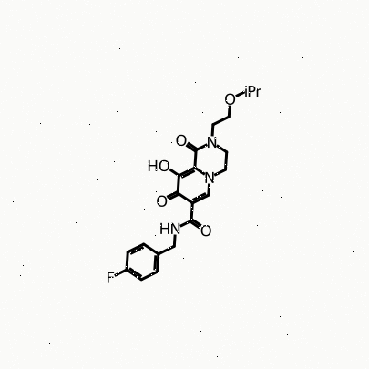 CC(C)OCCN1CCn2cc(C(=O)NCc3ccc(F)cc3)c(=O)c(O)c2C1=O